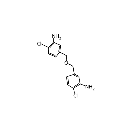 Nc1cc(COCc2ccc(Cl)c(N)c2)ccc1Cl